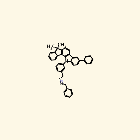 CC1(C)c2ccccc2-c2c1ccc1c3cc(-c4ccccc4)ccc3n(-c3cccc(C/N=N\Cc4ccccc4)c3)c21